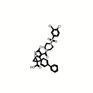 Cc1noc(C2(C3(C(=O)O)CC3)C=CC(c3ccccc3)=CC2)c1C(=O)N1CCN(S(=O)(=O)c2ccc(Cl)c(Cl)c2)CC1